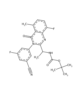 Cc1ccc(F)c2nc(C(C)NC(=O)OC(C)(C)C)n(-c3cc(F)cc(C#N)c3)c(=O)c12